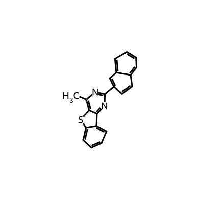 Cc1nc(-c2ccc3ccccc3c2)nc2c1sc1ccccc12